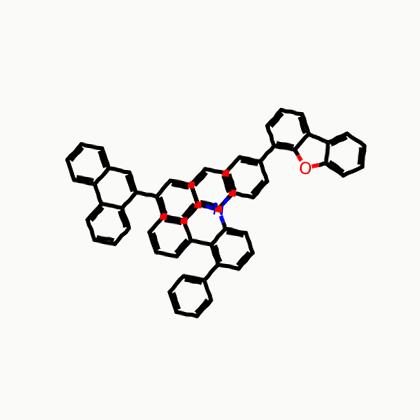 c1ccc(-c2ccccc2-c2c(-c3ccccc3)cccc2N(c2ccc(-c3cc4ccccc4c4ccccc34)cc2)c2ccc(-c3cccc4c3oc3ccccc34)cc2)cc1